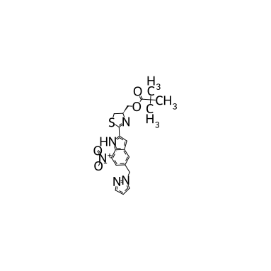 CC(C)(C)C(=O)OC[C@@H]1CSC(c2cc3cc(Cn4cccn4)cc([N+](=O)[O-])c3[nH]2)=N1